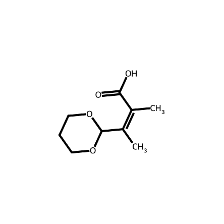 CC(C(=O)O)=C(C)C1OCCCO1